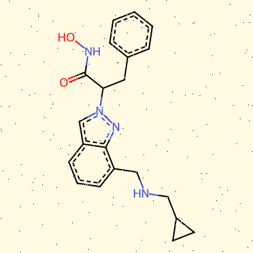 O=C(NO)C(Cc1ccccc1)n1cc2cccc(CNCC3CC3)c2n1